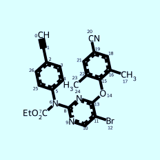 C#Cc1ccc(N(C(=O)OCC)c2ncc(Br)c(Oc3c(C)cc(C#N)cc3C)n2)cc1